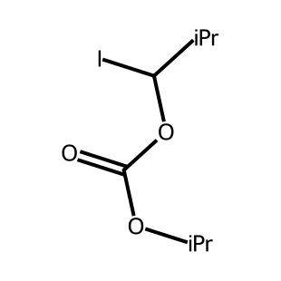 CC(C)OC(=O)OC(I)C(C)C